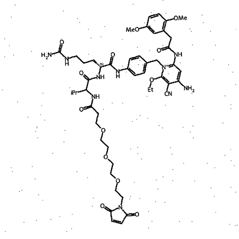 CCOc1c(C#N)c(N)cc(NC(=O)Cc2cc(OC)ccc2OC)[n+]1Cc1ccc(NC(=O)[C@H](CCCNC(N)=O)NC(=O)C(NC(=O)CCOCCOCCOCCN2C(=O)C=CC2=O)C(C)C)cc1